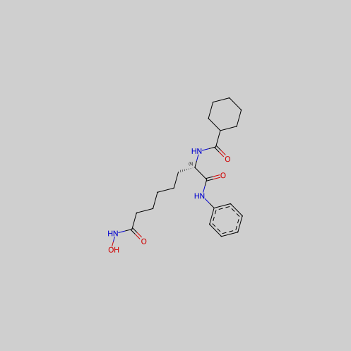 O=C(CCCCC[C@H](NC(=O)C1CCCCC1)C(=O)Nc1ccccc1)NO